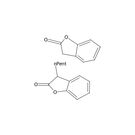 CCCCCC1C(=O)Oc2ccccc21.O=C1Cc2ccccc2O1